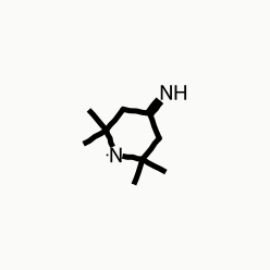 CC1(C)CC(=N)CC(C)(C)[N]1